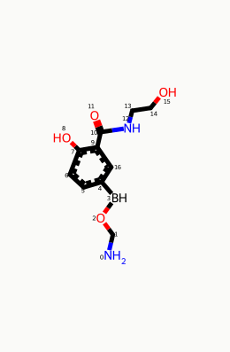 NCOBc1ccc(O)c(C(=O)NCCO)c1